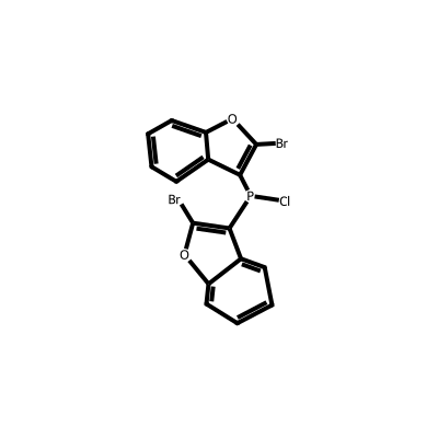 ClP(c1c(Br)oc2ccccc12)c1c(Br)oc2ccccc12